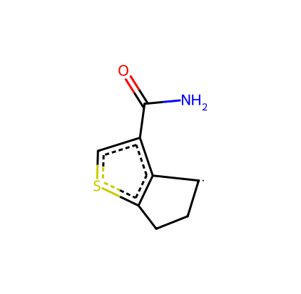 NC(=O)c1csc2c1[CH]CC2